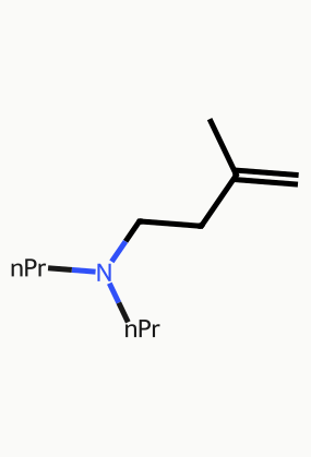 C=C(C)CCN(CCC)CCC